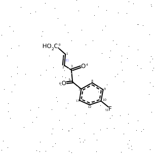 O=C(O)/C=C/C(=O)C(=O)c1ccc(F)cc1